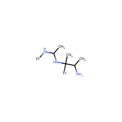 CCNC(C)NC(C)(CC)C(C)N